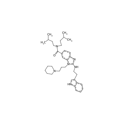 CC(C)CCN(CCC(C)C)C(=O)c1ccc2nc(NCCc3c[nH]c4ccccc34)n(CCCN3CCCCC3)c2c1